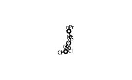 CCCc1ccc(-c2csc(N3CCN(S(=O)(=O)c4cc(Cl)ccc4Cl)CC3)n2)cc1